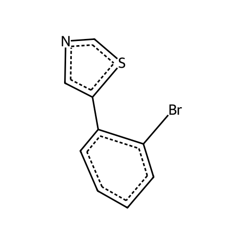 Brc1ccccc1-c1cncs1